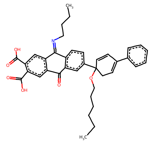 CCCCCCOC1(c2ccc3c(c2)C(=O)c2cc(C(=O)O)c(C(=O)O)cc2C3=NCCCC)C=CC(c2ccccc2)=CC1